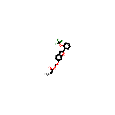 C=CC(=O)OCOc1ccc2cc(-c3ccccc3OC(F)(F)F)oc2c1